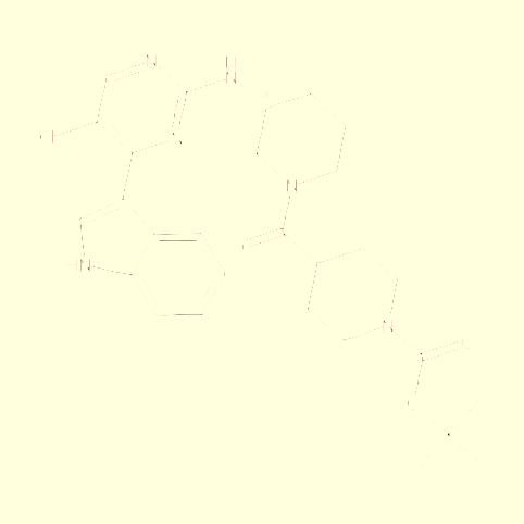 CC(C)(C)OC(=O)N1CCC(C(=O)N2CCC[C@@H](Nc3ncc(Cl)c(-c4c[nH]c5ccccc45)n3)C2)CC1